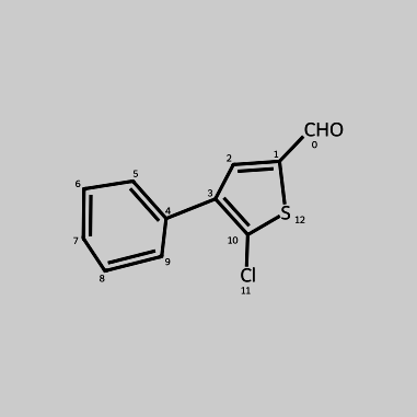 O=Cc1cc(-c2ccccc2)c(Cl)s1